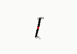 CCCCCC=CCC=CCC=CC=CCCCCC(=O)O